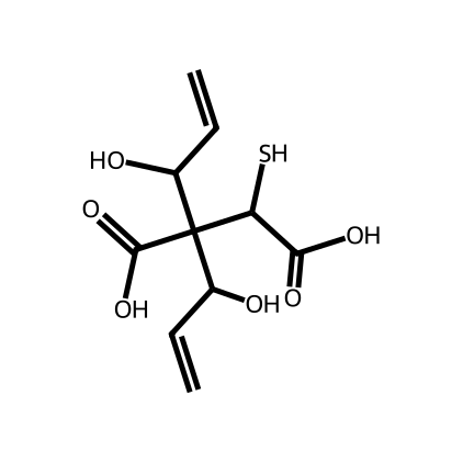 C=CC(O)C(C(=O)O)(C(O)C=C)C(S)C(=O)O